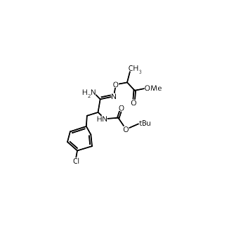 COC(=O)C(C)O/N=C(\N)C(Cc1ccc(Cl)cc1)NC(=O)OC(C)(C)C